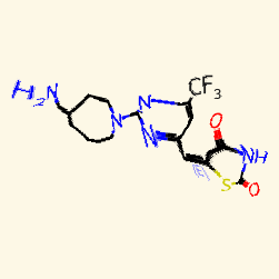 NCC1CCN(c2nc(/C=C3/SC(=O)NC3=O)cc(C(F)(F)F)n2)CC1